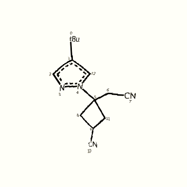 CC(C)(C)c1cnn(C2(CC#N)CC(C#N)C2)c1